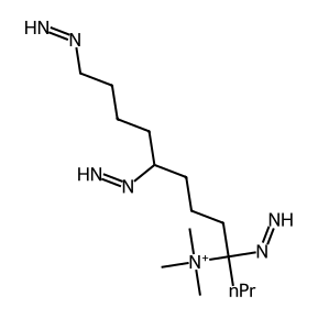 CCCC(CCCC(CCCCN=N)N=N)(N=N)[N+](C)(C)C